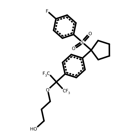 O=S(=O)(c1ccc(F)cc1)C1(c2ccc(C(OCCCO)(C(F)(F)F)C(F)(F)F)cc2)CCCC1